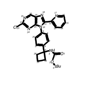 CC(C)(C)OC(=O)NC1(c2ccc(-n3c(-c4ccccn4)nc4cnc(Cl)nc43)cc2)CCC1